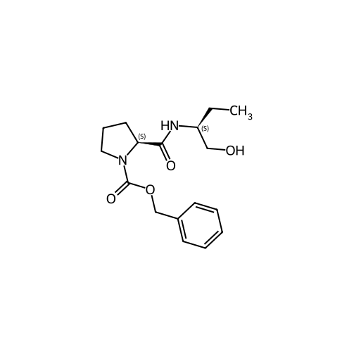 CC[C@@H](CO)NC(=O)[C@@H]1CCCN1C(=O)OCc1ccccc1